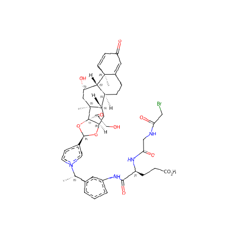 C[C@@H](c1cccc(NC(=O)[C@H](CCC(=O)O)NC(=O)CNC(=O)CBr)c1)n1ccc([C@@H]2O[C@@H]3C[C@H]4[C@@H]5CCC6=CC(=O)C=C[C@]6(C)[C@H]5[C@@H](O)C[C@]4(C)[C@]3(C(=O)CO)O2)c1